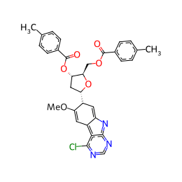 COC1=CC2=c3c(Cl)ncnc3=NC2=CC1[C@@H]1C[C@H](OC(=O)c2ccc(C)cc2)[C@@H](COC(=O)c2ccc(C)cc2)O1